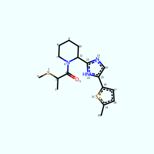 CSC(C)C(=O)N1CCCCC1c1ncc(-c2ccc(C)s2)[nH]1